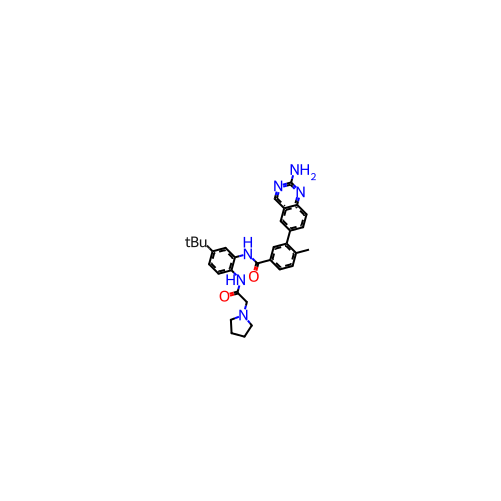 Cc1ccc(C(=O)Nc2cc(C(C)(C)C)ccc2NC(=O)CN2CCCC2)cc1-c1ccc2nc(N)ncc2c1